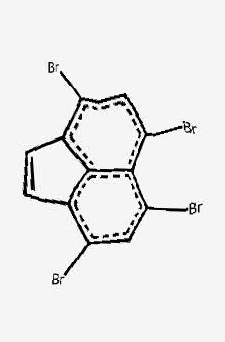 Brc1cc(Br)c2c(Br)cc(Br)c3c2c1C=C3